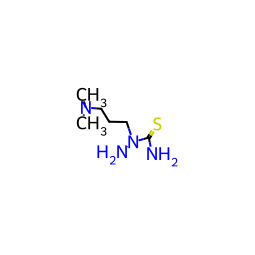 CN(C)CCCN(N)C(N)=S